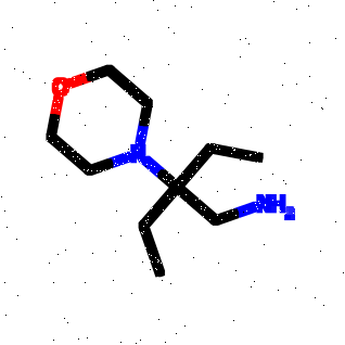 CCC(CC)(CN)N1CCOCC1